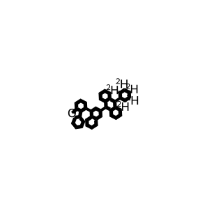 [2H]c1c([2H])c([2H])c(-c2c3ccccc3c(-c3cc(-c4cccc5oc6ccccc6c45)c4ccccc4c3)c3ccccc23)c([2H])c1[2H]